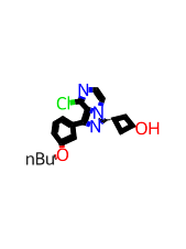 CCCCOc1cccc(-c2nc([C@H]3C[C@@H](O)C3)n3ccnc(Cl)c23)c1